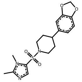 Cc1ncc(S(=O)(=O)N2CCC(c3ccc4c(c3)OCO4)CC2)n1C